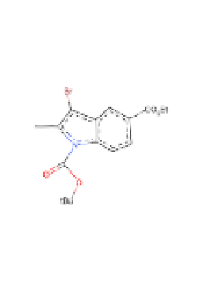 CCOC(=O)c1ccc2c(c1)c(Br)c(C)n2C(=O)OC(C)(C)C